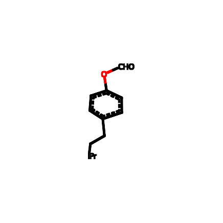 CC(C)CCc1ccc(OC=O)cc1